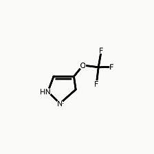 FC(F)(F)OC1=CN[N]C1